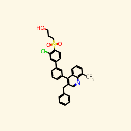 O=S(=O)(CCCO)c1ccc(-c2cccc(-c3c(Cc4ccccc4)cnc4c(C(F)(F)F)cccc34)c2)cc1Cl